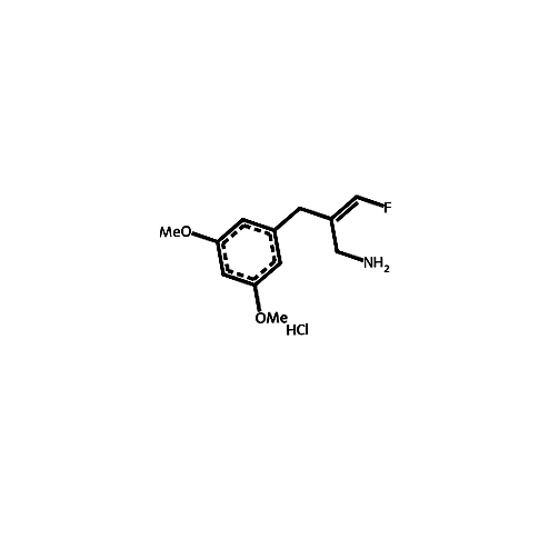 COc1cc(CC(=CF)CN)cc(OC)c1.Cl